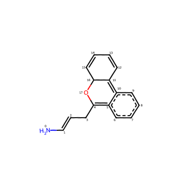 NC=CCC1=c2ccccc2=C2C=CC=CC2O1